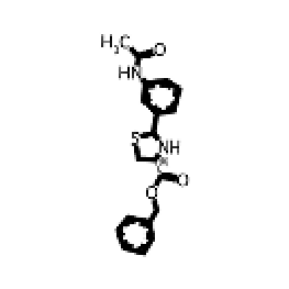 CC(=O)Nc1cccc(C2N[C@H](C(=O)OCc3ccccc3)CS2)c1